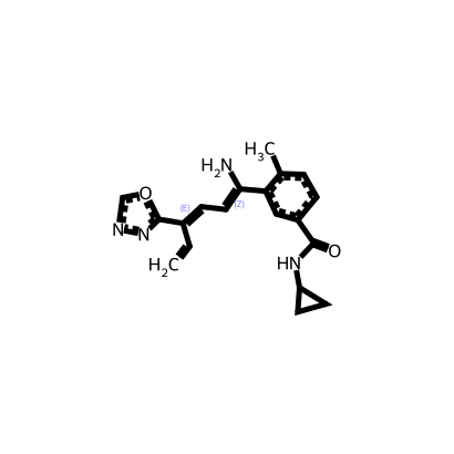 C=C/C(=C\C=C(/N)c1cc(C(=O)NC2CC2)ccc1C)c1nnco1